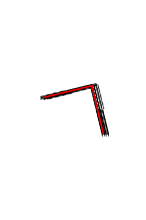 [Al+3].[Al+3].[Al+3].[Al+3].[Al+3].[Al+3].[Al+3].[Al+3].[Al+3].[Al+3].[Al+3].[Al+3].[Al+3].[Al+3].[Al+3].[Al+3].[Al+3].[Al+3].[Al+3].[Al+3].[Al+3].[Al+3].[Al+3].[Al+3].[Al+3].[Al+3].[Al+3].[Al+3].[Al+3].[Al+3].[Al+3].[Al+3].[Al+3].[Al+3].[Al+3].[Al+3].[Al+3].[Al+3].[Al+3].[Al+3].[Al+3].[Al+3].[Al+3].[Al+3].[Al+3].[Al+3].[Al+3].[Al+3].[Al+3].[Al+3].[Al+3].[Al+3].[Al+3].[Al+3].[Al+3].[Al+3].[Al+3].[HH].[HH].[HH].[HH].[HH].[HH].[HH].[HH].[HH].[HH].[HH].[HH].[HH].[HH].[HH].[HH].[HH].[HH].[HH].[HH].[HH].[HH].[HH].[HH].[HH].[HH].[HH].[HH].[HH].[HH].[HH].[HH].[HH].[HH].[HH].[HH].[HH].[HH].[HH].[HH].[HH].[HH].[HH].[HH].[HH].[HH].[HH].[HH].[HH].[HH].[HH].[HH].[HH].[HH].[HH].[HH].[HH].[HH].[HH]